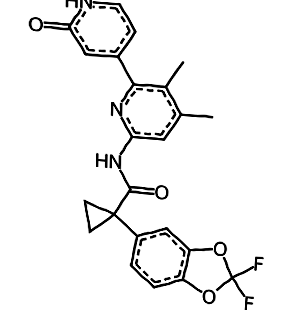 Cc1cc(NC(=O)C2(c3ccc4c(c3)OC(F)(F)O4)CC2)nc(-c2cc[nH]c(=O)c2)c1C